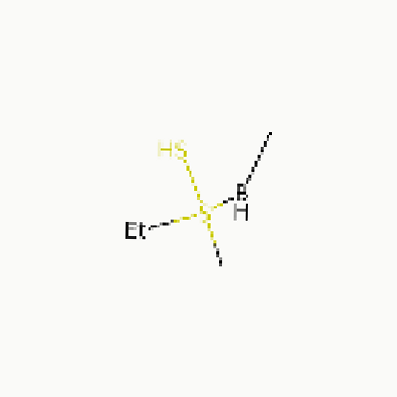 CBS(C)(S)CC